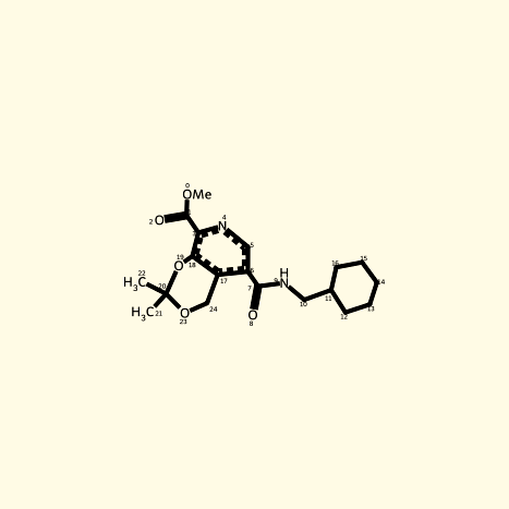 COC(=O)c1ncc(C(=O)NCC2CCCCC2)c2c1OC(C)(C)OC2